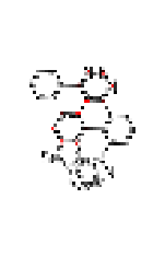 c1ccc(-c2ccc3[se]c4ccccc4c3c2-c2c(-c3ccccn3)cccc2-c2nnnc(-c3ccccc3)c2-c2ccccc2)cc1